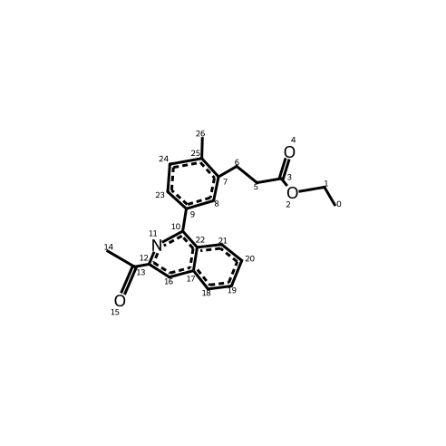 CCOC(=O)CCc1cc(-c2nc(C(C)=O)cc3ccccc23)ccc1C